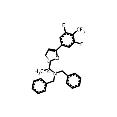 C[C@@H]([C@@H]1CC=C(c2cc(F)c(C(F)(F)F)c(F)c2)O1)N(Cc1ccccc1)Cc1ccccc1